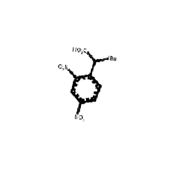 CCC(C)C(C(=O)O)c1ccc([N+](=O)[O-])cc1[N+](=O)[O-]